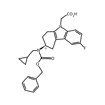 O=C(O)Cn1c2c(c3cc(F)ccc31)C[C@@H](N(CC1CC1)C(=O)OCc1ccccc1)CC2